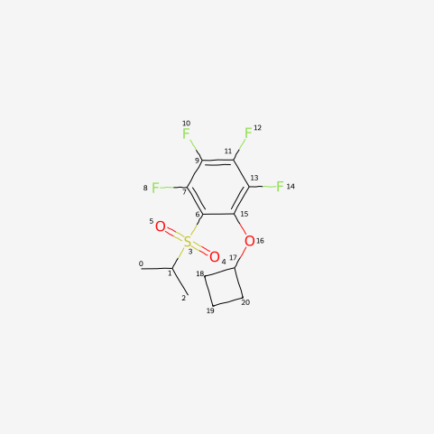 CC(C)S(=O)(=O)c1c(F)c(F)c(F)c(F)c1OC1CCC1